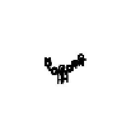 CC(=O)N(C)C1CCN(c2ccc(NC(=O)Nc3ccc(Cc4ccncc4)cc3)cc2)C1